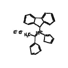 C/[C](c1ccccc1)=[Hf+2](/[C]1=CC=CC1)[CH]1c2ccccc2-c2ccccc21.[Cl-].[Cl-]